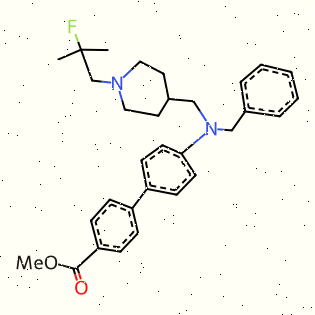 COC(=O)c1ccc(-c2ccc(N(Cc3ccccc3)CC3CCN(CC(C)(C)F)CC3)cc2)cc1